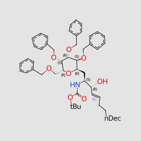 CCCCCCCCCCCC/C=C/[C@@H](O)[C@H](C[C@H]1O[C@H](COCc2ccccc2)[C@H](OCc2ccccc2)[C@H](OCc2ccccc2)[C@H]1OCc1ccccc1)NC(=O)OC(C)(C)C